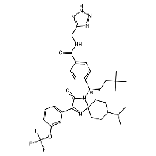 CC(C)C1CCC2(CC1)N=C(c1cccc(OC(F)(F)F)c1)C(=O)N2[C@H](CCC(C)(C)C)c1ccc(C(=O)NCc2nn[nH]n2)cc1